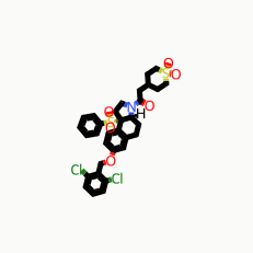 O=C(CC1CCS(=O)(=O)CC1)N1CC[C@@]2(S(=O)(=O)c3ccccc3)c3ccc(OCc4c(Cl)cccc4Cl)cc3CC[C@@H]12